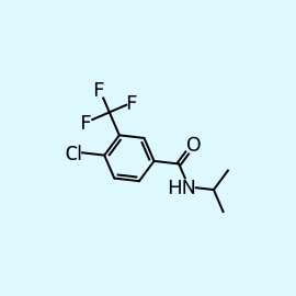 CC(C)NC(=O)c1ccc(Cl)c(C(F)(F)F)c1